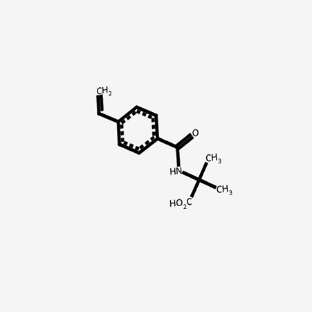 C=Cc1ccc(C(=O)NC(C)(C)C(=O)O)cc1